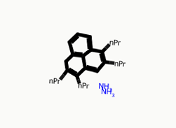 CCCC1=C(CCC)c2cc(CCC)c(CCC)c3cccc(c23)C1.N.N